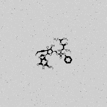 CC(C)OC(=O)[C@H](C)NP(=O)(OC[C@H]1O[C@@H](n2cnc3c(=O)[nH]c(N)nc32)[C@@](Cl)(C#CCF)C1O)Oc1ccccc1